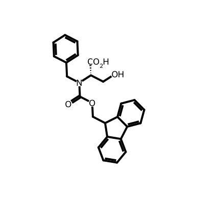 O=C(O)[C@H](CO)N(Cc1ccccc1)C(=O)OCC1c2ccccc2-c2ccccc21